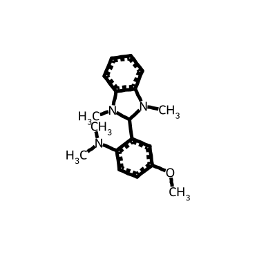 COc1ccc(N(C)C)c(C2N(C)c3ccccc3N2C)c1